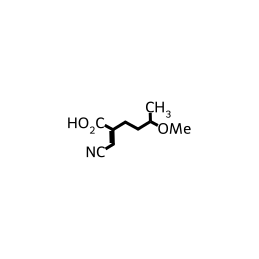 COC(C)CC/C(=C/C#N)C(=O)O